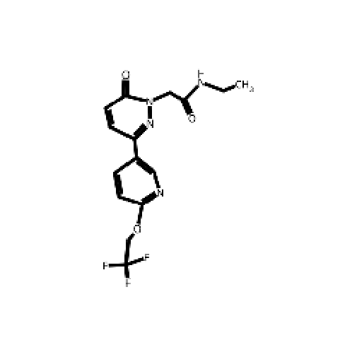 CCNC(=O)Cn1nc(-c2ccc(OCC(F)(F)F)nc2)ccc1=O